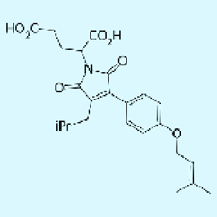 CC(C)=CCOc1ccc(C2=C(CC(C)C)C(=O)N(C(CCC(=O)O)C(=O)O)C2=O)cc1